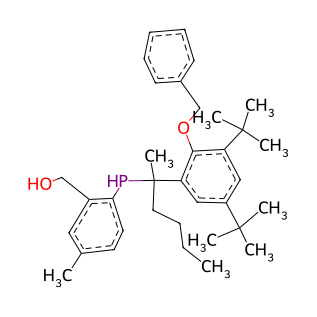 CCCCC(C)(Pc1ccc(C)cc1CO)c1cc(C(C)(C)C)cc(C(C)(C)C)c1OCc1ccccc1